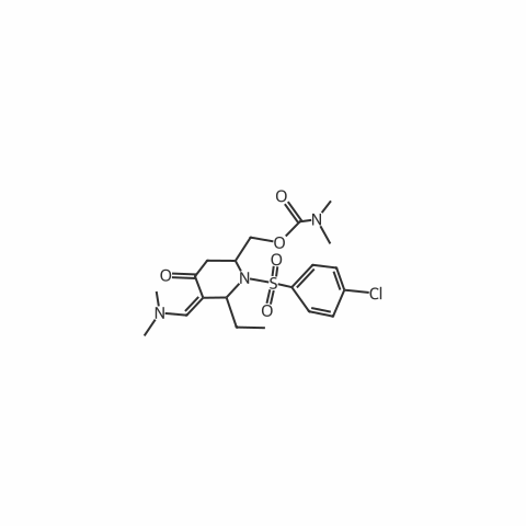 CCC1C(=CN(C)C)C(=O)CC(COC(=O)N(C)C)N1S(=O)(=O)c1ccc(Cl)cc1